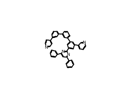 c1ccc(-c2cc(-c3ccccc3)nc(-c3cc(-c4cccnc4)cc(-c4cccc(-c5cccc(-c6ccncc6)c5)c4)c3)n2)cc1